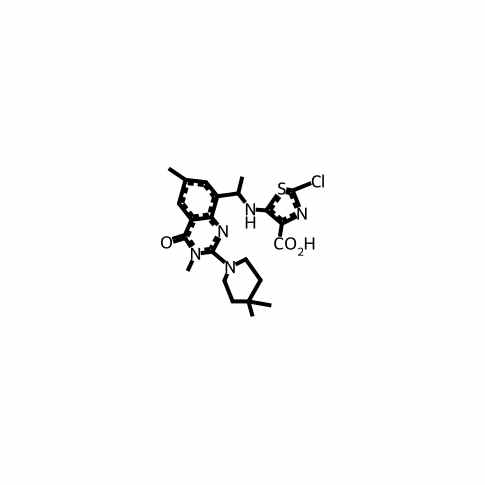 Cc1cc(C(C)Nc2sc(Cl)nc2C(=O)O)c2nc(N3CCC(C)(C)CC3)n(C)c(=O)c2c1